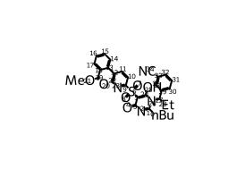 CCCCc1nc(=O)c(S(=O)(=O)c2ccc(-c3ccccc3C(=O)OC)cn2)c(O)n1C(CC)c1cccc(C#N)c1